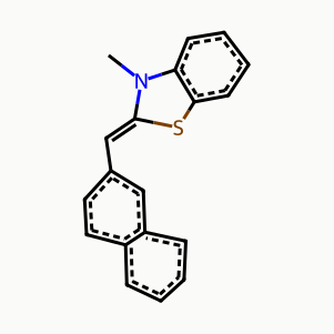 CN1C(=Cc2ccc3ccccc3c2)Sc2ccccc21